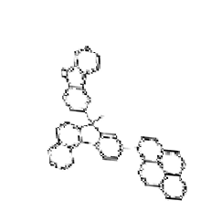 CC1(c2ccc3oc4ccccc4c3c2)c2cc(-c3ccc4ccc5cccc6ccc3c4c56)ccc2-c2c1ccc1ccccc21